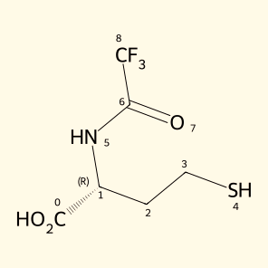 O=C(O)[C@@H](CCS)NC(=O)C(F)(F)F